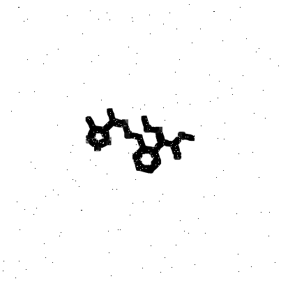 CO/N=C(/C(=O)OC)c1ccccc1CO/N=C(/C)c1nnsc1C